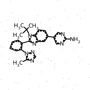 Cc1ncnn1-c1ccccc1-c1nc2cc(-c3cnc(N)nc3)ccc2n1C(C)(C)C